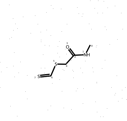 CNC(=O)CSC=S